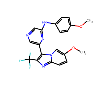 COc1ccc(Nc2cncc(-c3c(C(F)(F)F)nc4ccc(OC)cn34)n2)cc1